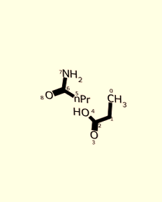 CCC(=O)O.CCCC(N)=O